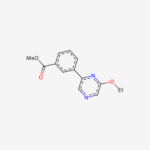 CCOc1cncc(-c2cccc(C(=O)OC)c2)n1